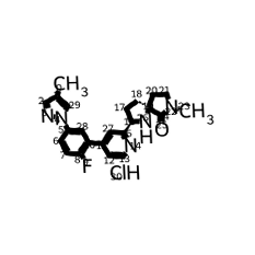 Cc1cnn(-c2ccc(F)c(-c3ccnc([C@H]4CC[C@@]5(CCN(C)C5=O)N4)c3)c2)c1.Cl